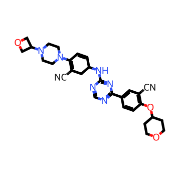 N#CC1=C(N2CCN(C3COC3)CC2)C=CC(Nc2ncnc(-c3ccc(OC4CCOCC4)c(C#N)c3)n2)C1